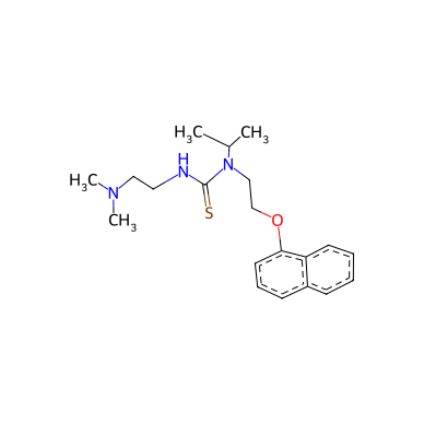 CC(C)N(CCOc1cccc2ccccc12)C(=S)NCCN(C)C